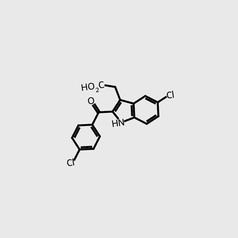 O=C(O)Cc1c(C(=O)c2ccc(Cl)cc2)[nH]c2ccc(Cl)cc12